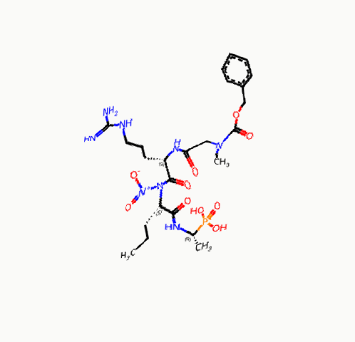 CCC[C@@H](C(=O)N[C@@H](C)P(=O)(O)O)N(C(=O)[C@H](CCCNC(=N)N)NC(=O)CN(C)C(=O)OCc1ccccc1)[N+](=O)[O-]